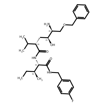 CC[C@H](C)[C@H](NC(=O)[C@@H](C[C@H](O)[C@@H](N)COCc1ccccc1)C(C)C)C(=O)NCc1ccc(F)cc1